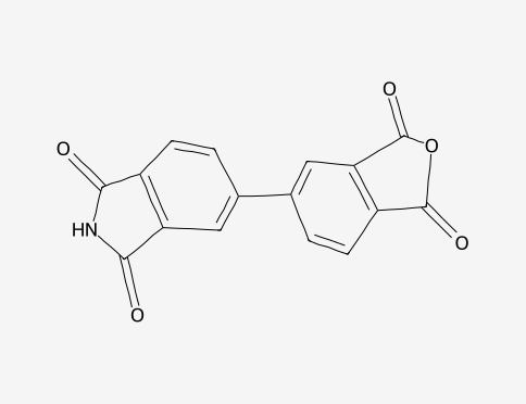 O=C1NC(=O)c2cc(-c3ccc4c(c3)C(=O)OC4=O)ccc21